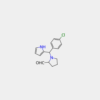 O=CC1CCCN1C(c1ccc(Cl)cc1)c1ccc[nH]1